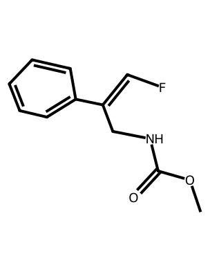 COC(=O)NCC(=CF)c1ccccc1